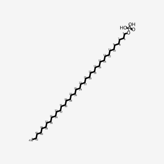 O=P(O)(O)OCCCCCCCCCCCCCCCCCCCCCCCCCCCCCCCCCCCCCCI